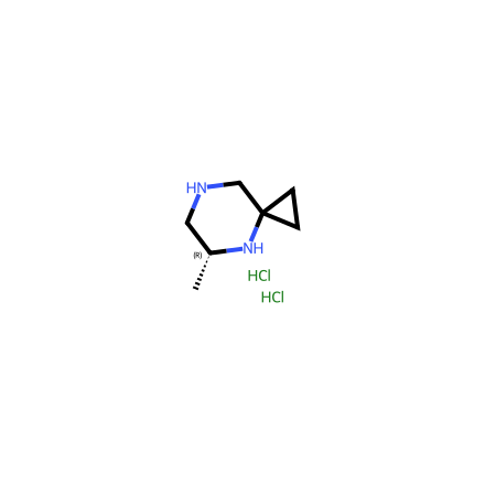 C[C@@H]1CNCC2(CC2)N1.Cl.Cl